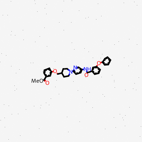 COC(=O)c1cccc(OCC2CCN(c3ccc(NC(=O)c4cccc(Oc5ccccc5)c4)cn3)CC2)c1